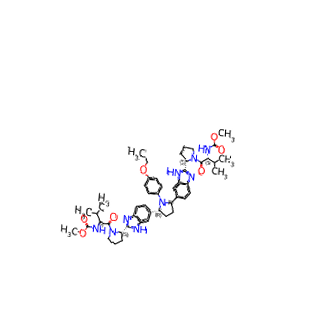 CCOc1ccc(N2[C@@H](c3ccc4nc([C@@H]5CCCN5C(=O)[C@@H](NC(=O)OC)C(C)C)[nH]c4c3)CC[C@@H]2c2ccc3nc([C@@H]4CCCN4C(=O)[C@@H](NC(=O)OC)C(C)C)[nH]c3c2)cc1